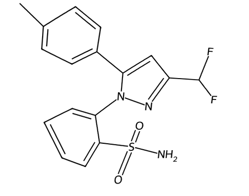 Cc1ccc(-c2cc(C(F)F)nn2-c2ccccc2S(N)(=O)=O)cc1